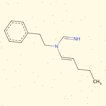 CCC/C=C/N(C=N)CCc1ccccc1